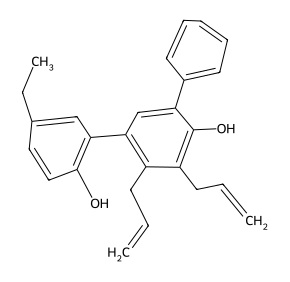 C=CCc1c(-c2cc(CC)ccc2O)cc(-c2ccccc2)c(O)c1CC=C